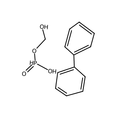 O=[PH](O)OCO.c1ccc(-c2ccccc2)cc1